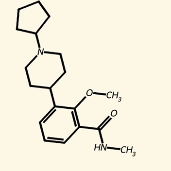 CNC(=O)c1cccc(C2CCN(C3CCCC3)CC2)c1OC